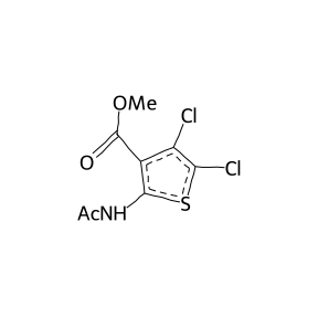 COC(=O)c1c(NC(C)=O)sc(Cl)c1Cl